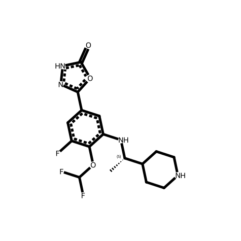 C[C@H](Nc1cc(-c2n[nH]c(=O)o2)cc(F)c1OC(F)F)C1CCNCC1